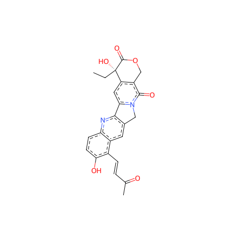 CC[C@@]1(O)C(=O)OCc2c1cc1n(c2=O)Cc2cc3c(C=CC(C)=O)c(O)ccc3nc2-1